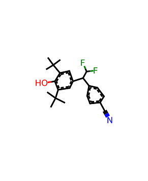 CC(C)(C)c1cc(C(c2ccc(C#N)cc2)C(F)F)cc(C(C)(C)C)c1O